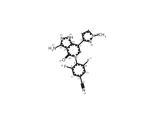 Cn1ccc(-c2cn(-c3c(F)cc(C#N)cc3F)c(=O)c3c(N)n[nH]c23)n1